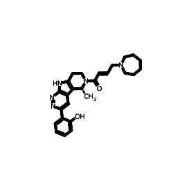 C[C@H]1c2c([nH]c3nnc(-c4ccccc4O)cc23)CCN1C(=O)C=CCN1CCCCCC1